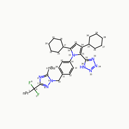 CCCCc1nc(C(F)(F)CCC)nn1Cc1ccc(-n2c(C3CCCCC3)cc(C3CCCCC3)c2-c2nnn[nH]2)cc1